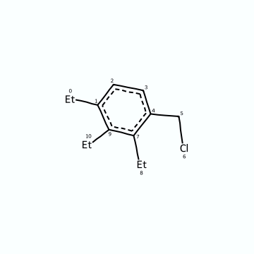 CCc1ccc(CCl)c(CC)c1CC